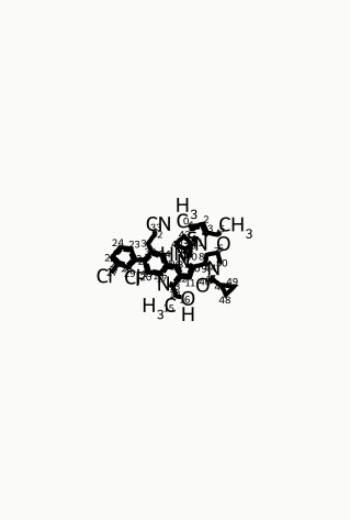 Cc1cc(C(C)OC2CC(c3cc4c(C(C)O)nc5c(F)c(-c6cccc(Cl)c6Cl)c(CCC#N)cc5c4n3C3C4CNC3C4)N(C(=O)C3CC3)C2)ns1